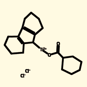 O=C([O][Ti+2][CH]1C2=C(CCCC2)C2=C1CCCC2)C1CCCCC1.[Cl-].[Cl-]